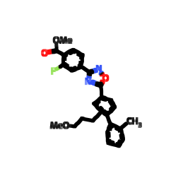 COCCCc1cc(-c2nc(-c3ccc(C(=O)OC)c(F)c3)no2)ccc1-c1ccccc1C